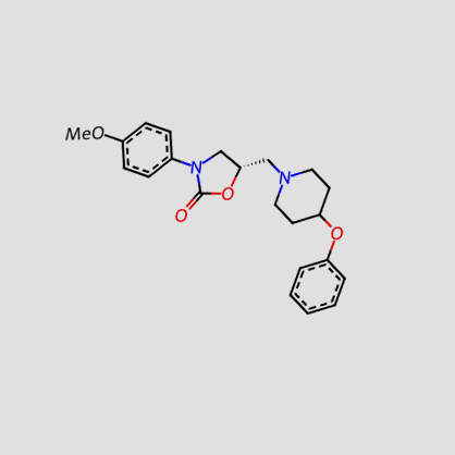 COc1ccc(N2C[C@H](CN3CCC(Oc4ccccc4)CC3)OC2=O)cc1